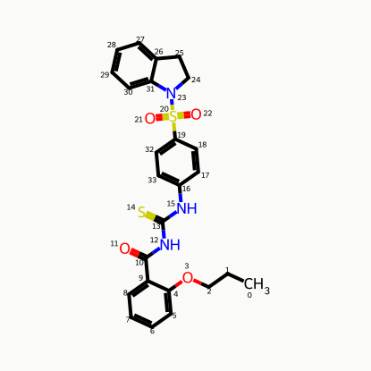 CCCOc1ccccc1C(=O)NC(=S)Nc1ccc(S(=O)(=O)N2CCc3ccccc32)cc1